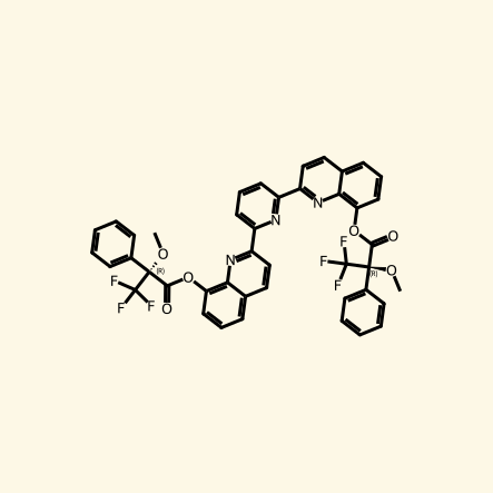 CO[C@@](C(=O)Oc1cccc2ccc(-c3cccc(-c4ccc5cccc(OC(=O)[C@](OC)(c6ccccc6)C(F)(F)F)c5n4)n3)nc12)(c1ccccc1)C(F)(F)F